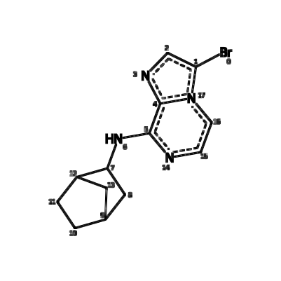 Brc1cnc2c(NC3CC4CCC3C4)nccn12